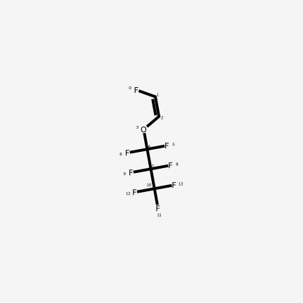 F/C=C\OC(F)(F)C(F)(F)C(F)(F)F